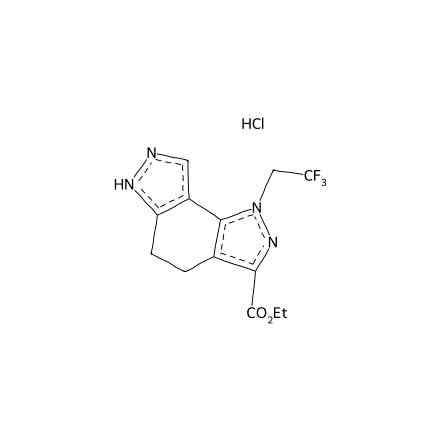 CCOC(=O)c1nn(CC(F)(F)F)c2c1CCc1[nH]ncc1-2.Cl